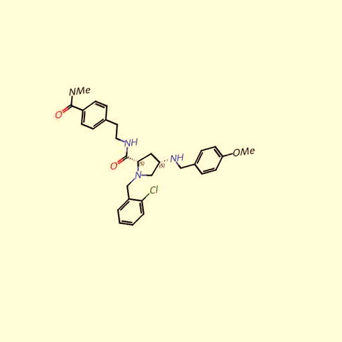 CNC(=O)c1ccc(CCNC(=O)[C@@H]2C[C@H](NCc3ccc(OC)cc3)CN2Cc2ccccc2Cl)cc1